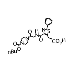 CCCCOC(=O)N1CCN(C(=O)CNC(=O)c2nc(-c3ccccc3)sc2CCC(=O)O)CC1